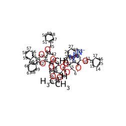 C[C@@H]1O[C@@H](O[C@@H]2[CH]O[C@H](COCc3ccccc3)[C@H](N=[N+]=[N-])[C@@H]2OCc2ccccc2)[C@@H]2OC(C)(C)O[C@@H]2[C@H]1O[C@@H]1OC[C@@H](OCc2ccccc2)[C@H](OCc2ccccc2)[C@H]1OCc1ccccc1